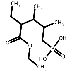 CCOC(=O)C(CC)C(C)C(C)CP(=O)(O)O